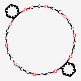 c1ccc2c(c1)OCCOCCOCCOCCOc1ccccc1OCCOCCOCCOCCO2